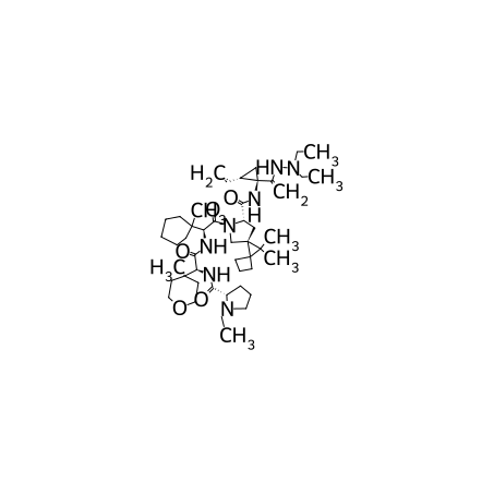 C=C[C@@H]1C[C@]1(NC(=O)[C@@H]1C[C@@]2(CN1C(=O)[C@@H](NC(=O)[C@@H](NC(=O)[C@@H]1CCCN1CC)C1(C)CCOCC1)C1(C)CCCCC1)C(C)(C)C21CCC1)C(=C)NN(CC)CC